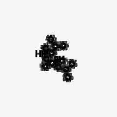 P=P(c1ccccc1)(c1ccc(C2(c3ccc(P(=P)(c4ccccc4)c4cccc(-c5cc(-c6ccccc6)cc(-c6ccccc6)c5)c4)cc3)CCCCC2)cc1)c1cccc(-c2cc(-c3ccccc3)cc(-c3ccccc3)c2)c1